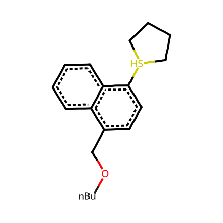 CCCCOCc1ccc([SH]2CCCC2)c2ccccc12